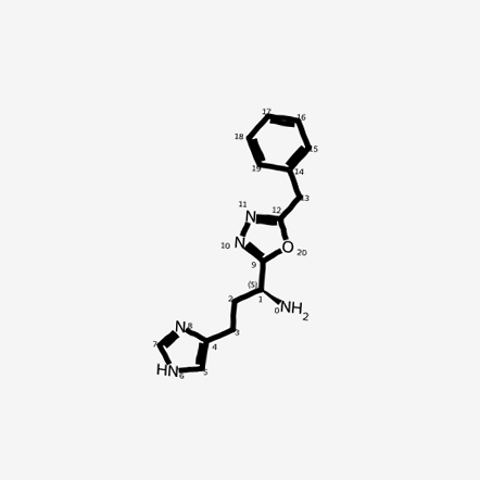 N[C@@H](CCc1c[nH]cn1)c1nnc(Cc2ccccc2)o1